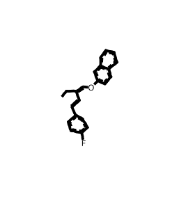 CCC(C=Cc1ccc(F)cc1)=COc1ccc2ccccc2c1